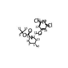 C[C@H]1CCN(C(=O)OC(C)(C)C)[C@H](COc2cc(Cl)nc(Cl)c2)C1